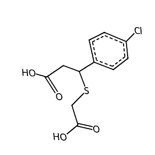 O=C(O)CSC(CC(=O)O)c1ccc(Cl)cc1